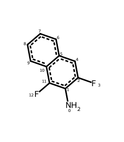 Nc1c(F)cc2ccccc2c1F